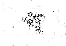 COc1ccc(Cn2nc3c(-c4cc(C)nc(C)c4)c(-c4ccccc4)nc(N)n3c2=O)cc1